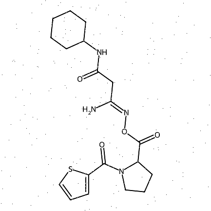 N/C(CC(=O)NC1CCCCC1)=N\OC(=O)C1CCCN1C(=O)c1cccs1